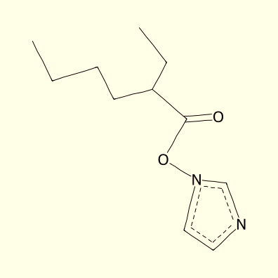 CCCCC(CC)C(=O)On1ccnc1